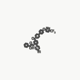 CCN1CCN(c2ccc(C(=O)N3CCC(c4ccc(Oc5ccc(C(F)(F)F)nn5)cc4)CC3)cc2NC(=O)C(=O)c2ccccc2)CC1